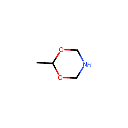 CC1OCNCO1